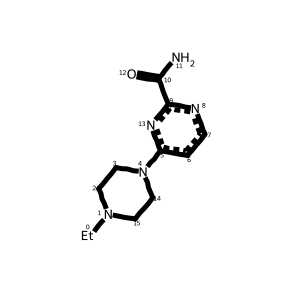 CCN1CCN(c2c[c]nc(C(N)=O)n2)CC1